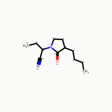 CCCCC1CCN(C(C#N)CC)C1=O